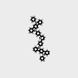 c1ccc(-n2c3ccccc3c3cc4c(cc32)c2ccccc2n4-c2ccc(-c3cccc(-c4ccc(-n5c6ccccc6c6cc7c(cc65)c5ccccc5n7-c5ccccc5)cc4)n3)cc2)cc1